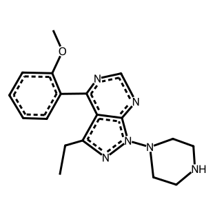 CCc1nn(N2CCNCC2)c2ncnc(-c3ccccc3OC)c12